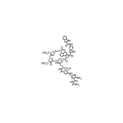 C=C(N)NC(=O)c1nc(CNc2ccc(C(=C)NC(CCC(=O)NC(CCC(=O)NC(CCCNC(CSSCCOC(=O)Oc3cc4c(c5ccccc35)C(CCl)CN4C(=O)c3cc4cc(NC(=O)c5cc6ccccc6[nH]5)ccc4[nH]3)C(=O)O)C(=O)O)C(=O)O)C(=O)O)cc2)cnc1N